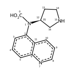 O=C(O)N(c1cccc2ncccc12)[C@H]1CCNC1